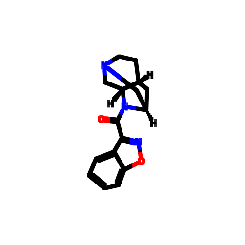 O=C(c1noc2ccccc12)N1[C@@H]2C[C@H]3CCN(C2)C[C@H]31